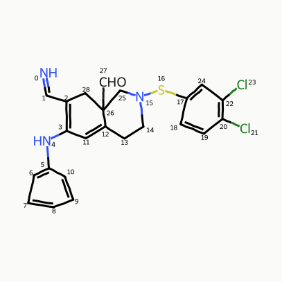 N=CC1=C(Nc2ccccc2)C=C2CCN(Sc3ccc(Cl)c(Cl)c3)CC2(C=O)C1